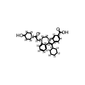 O=C(O)c1ccc2c(C3CCCCC3)c3n(c2c1)CCN(CC(=O)N1CCC(O)CC1)c1ccccc1-3